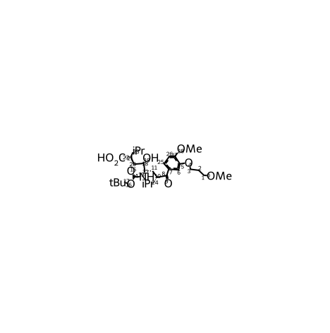 COCCCOc1cc(C(=O)[C@@H](C[C@H](NC(=O)OC(C)(C)C)[C@@H](O)C[C@H](C(=O)O)C(C)C)C(C)C)ccc1OC